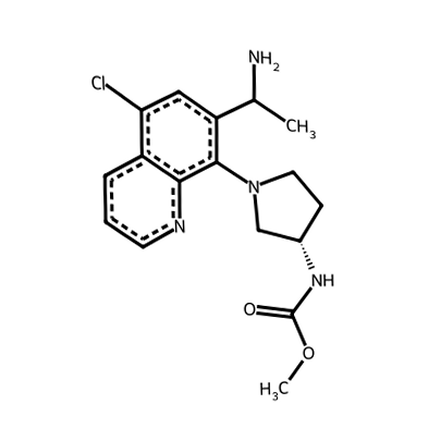 COC(=O)N[C@H]1CCN(c2c(C(C)N)cc(Cl)c3cccnc23)C1